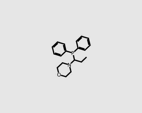 CCC(N1CCOCC1)P(c1ccccc1)c1ccccc1